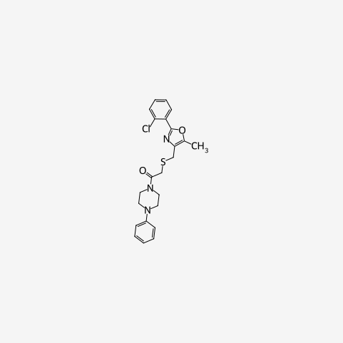 Cc1oc(-c2ccccc2Cl)nc1CSCC(=O)N1CCN(c2ccccc2)CC1